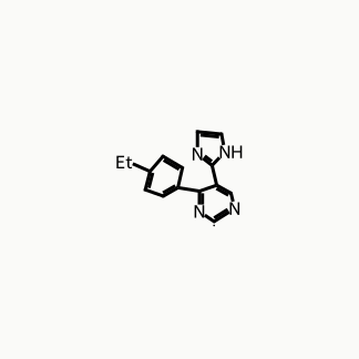 CCc1ccc(-c2n[c]ncc2-c2ncc[nH]2)cc1